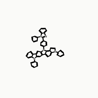 c1ccc(-n2ccc3c2ccc2c4cc5c(cc4n(-c4ccc(-c6nc7ccccc7n6-c6ccccc6)cc4)c23)c2ccccc2n5-c2ccccc2)cc1